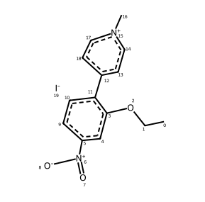 CCOc1cc([N+](=O)[O-])ccc1-c1cc[n+](C)cc1.[I-]